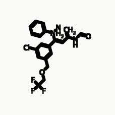 C=C(/C=C(/c1cc(Cl)cc(COCC(F)(F)F)c1)N(N)c1ccccc1)NC=O